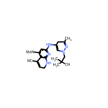 CNc1cc(NC2=CN(CC(C)(C)C#N)N=C(C)C2)nc2c1C(C#N)=CCN2